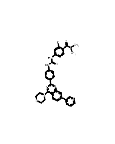 CN(C)C(=O)c1ccc(NC(=O)Nc2ccc(-c3nc(N4CCOCC4)c4ccc(-c5cccnc5)cc4n3)cc2)cc1F